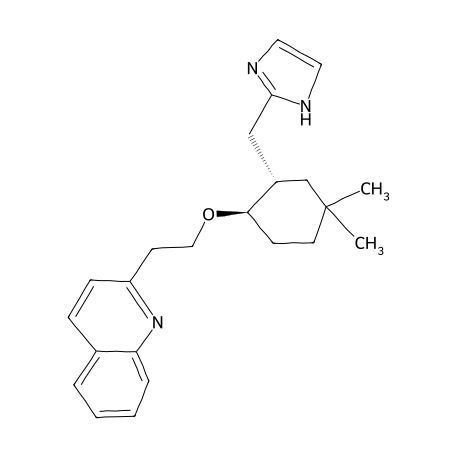 CC1(C)CC[C@@H](OCCc2ccc3ccccc3n2)[C@H](Cc2ncc[nH]2)C1